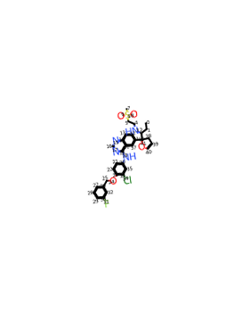 CCC(NCCS(C)(=O)=O)C1(c2ccc3ncnc(Nc4ccc(OCc5cccc(F)c5)c(Cl)c4)c3c2)CC=CO1